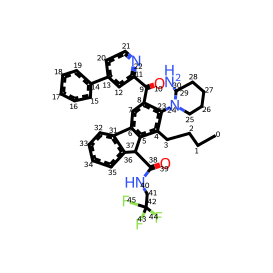 CCCCc1c2c(cc(C(=O)c3cc(-c4ccccc4)ccn3)c1N1CCCCC1N)-c1ccccc1C2C(=O)NCC(F)(F)F